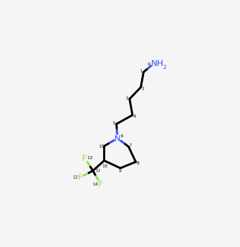 NCCCCCN1CCCC(C(F)(F)F)C1